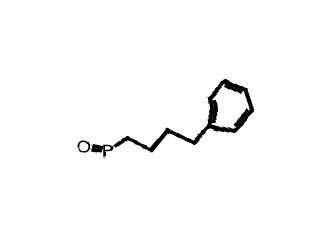 O=PCCCCc1ccccc1